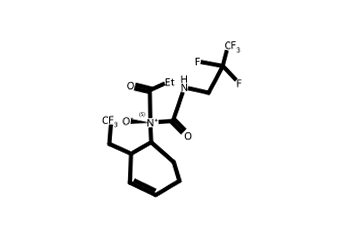 CCC(=O)[N@+]([O-])(C(=O)NCC(F)(F)C(F)(F)F)C1CCC=CC1CC(F)(F)F